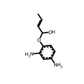 CC=CC(O)Oc1ccc(N)cc1N